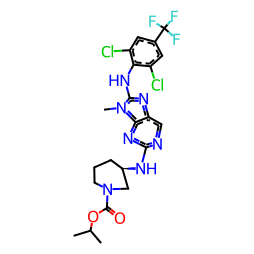 CC(C)OC(=O)N1CCC[C@@H](Nc2ncc3nc(Nc4c(Cl)cc(C(F)(F)F)cc4Cl)n(C)c3n2)C1